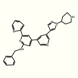 c1ccc(CNc2cc(-c3cncc(-c4cnn(C5CCNCC5)c4)c3)cc(-c3ccccn3)n2)cc1